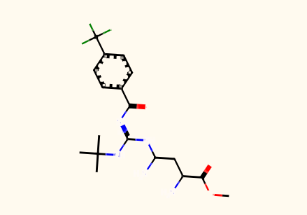 COC(=O)C(N)CC(N)N/C(=N\C(=O)c1ccc(C(F)(F)F)cc1)NC(C)(C)C